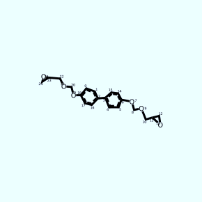 c1cc(-c2ccc(OCOCC3CO3)cc2)ccc1OCOCC1CO1